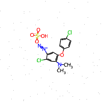 CN(C)c1cc(Cl)c([N+]#N)cc1Oc1ccc(Cl)cc1.O=S(=O)([O-])O